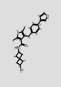 CC(=O)C1CC2(CC(NC(=O)c3c(C)sc(C)c3Cc3ccc(-c4ccoc4)cc3)C2)C1